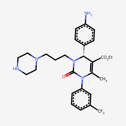 CCOC(=O)C1=C(C)N(c2cccc(C(F)(F)F)c2)C(=O)N(CCCN2CCNCC2)[C@@H]1c1ccc(N)cc1